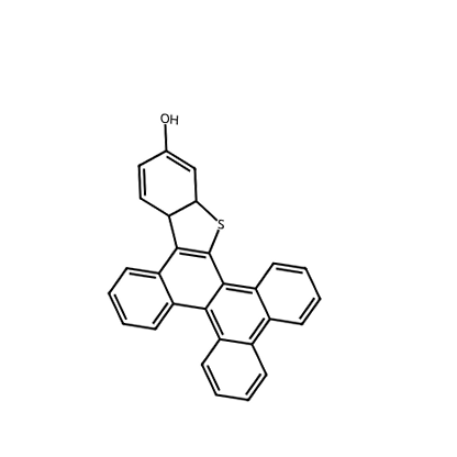 OC1=CC2Sc3c(c4ccccc4c4c5ccccc5c5ccccc5c34)C2C=C1